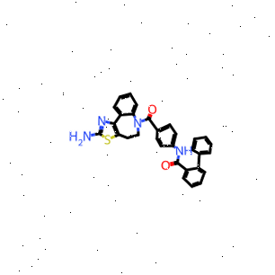 Nc1nc2c(s1)CCN(C(=O)c1ccc(NC(=O)c3ccccc3-c3ccccc3)cc1)c1ccccc1-2